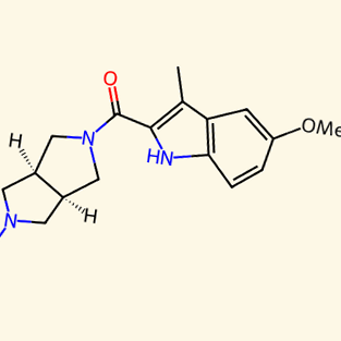 COc1ccc2[nH]c(C(=O)N3C[C@H]4CN(C)C[C@H]4C3)c(C)c2c1